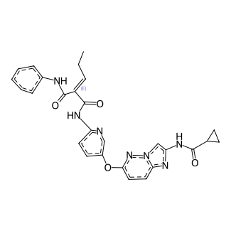 CC/C=C(\C(=O)Nc1ccccc1)C(=O)Nc1ccc(Oc2ccc3nc(NC(=O)C4CC4)cn3n2)cn1